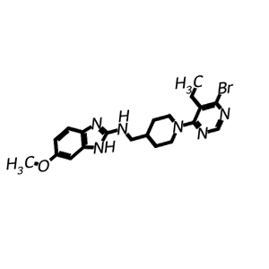 CCc1c(Br)ncnc1N1CCC(CNc2nc3ccc(OC)cc3[nH]2)CC1